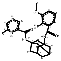 COc1cccc(C(=O)NC23CC4CC(CC(NC(=O)c5cncc(C)n5)(C4)C2)C3)c1F